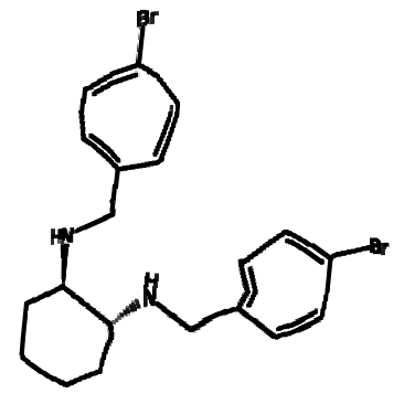 Brc1ccc(CN[C@@H]2CCCC[C@H]2NCc2ccc(Br)cc2)cc1